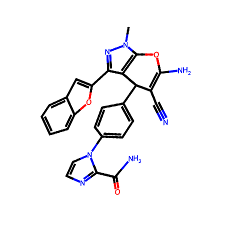 Cn1nc(-c2cc3ccccc3o2)c2c1OC(N)=C(C#N)C2c1ccc(-n2ccnc2C(N)=O)cc1